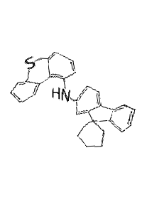 c1ccc2c(c1)-c1ccc(Nc3cccc4sc5ccccc5c34)cc1C21CCCCC1